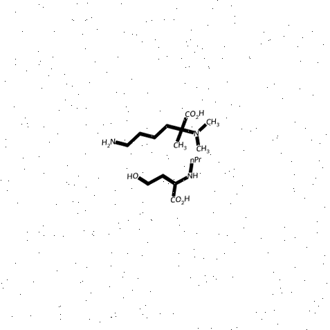 CCCNC(CCO)C(=O)O.CN(C)C(C)(CCCCN)C(=O)O